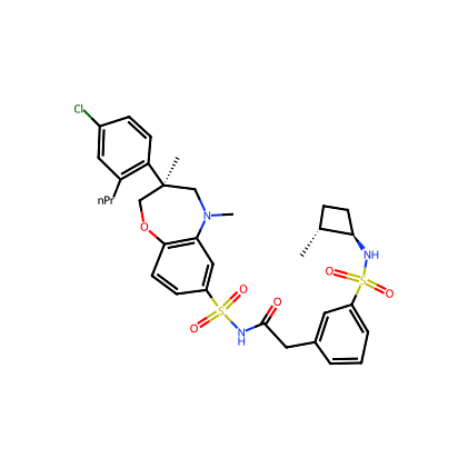 CCCc1cc(Cl)ccc1[C@]1(C)COc2ccc(S(=O)(=O)NC(=O)Cc3cccc(S(=O)(=O)N[C@@H]4CC[C@H]4C)c3)cc2N(C)C1